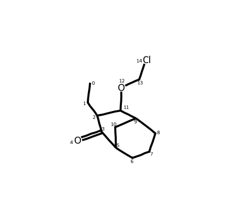 CCC1C(=O)C2CCCC(C2)C1OCCl